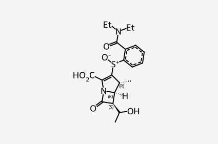 CCN(CC)C(=O)c1ccccc1[S+]([O-])C1=C(C(=O)O)N2C(=O)[C@H](C(C)O)[C@@H]2[C@H]1C